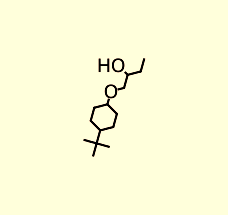 CCC(O)COC1CCC(C(C)(C)C)CC1